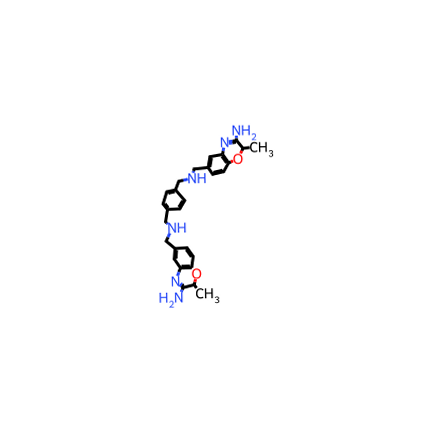 CC1Oc2ccc(CNCc3ccc(CNCc4ccc5c(c4)N=C(N)C(C)O5)cc3)cc2N=C1N